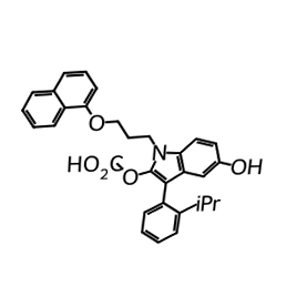 CC(C)c1ccccc1-c1c(OC(=O)O)n(CCCOc2cccc3ccccc23)c2ccc(O)cc12